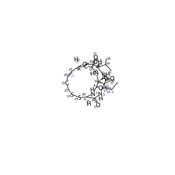 C/C=C1/NC(=O)[C@@H]2NC(=O)[C@@H](C(C)C)NC(=O)C[C@@H](/C=C\CCSS2)OC(=O)[C@H](C(C)C)NC1=O